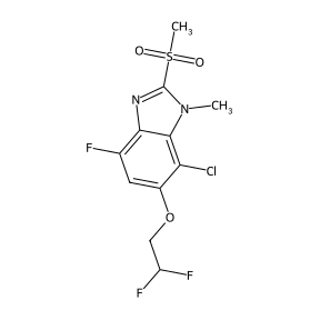 Cn1c(S(C)(=O)=O)nc2c(F)cc(OCC(F)F)c(Cl)c21